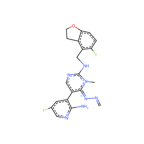 C=N/N=c1/c(-c2cc(F)cnc2N)cnc(NCc2c(F)ccc3c2CCO3)n1C